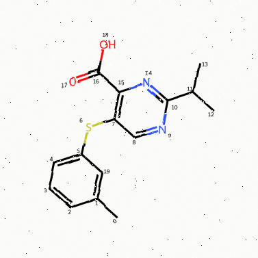 Cc1cccc(Sc2cnc(C(C)C)nc2C(=O)O)c1